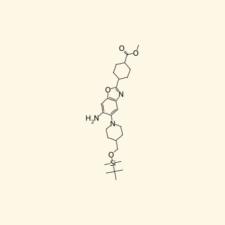 COC(=O)C1CCC(c2nc3cc(N4CCC(CO[Si](C)(C)C(C)(C)C)CC4)c(N)cc3o2)CC1